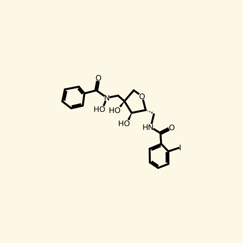 O=C(NC[C@H]1OC[C@@](O)(CN(O)C(=O)c2ccccc2)[C@@H]1O)c1ccccc1I